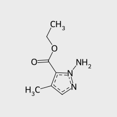 CCOC(=O)c1c(C)cnn1N